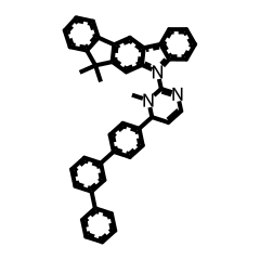 CN1C(n2c3ccccc3c3cc4c(cc32)C(C)(C)c2ccccc2-4)=NC=CC1c1ccc(-c2cccc(-c3ccccc3)c2)cc1